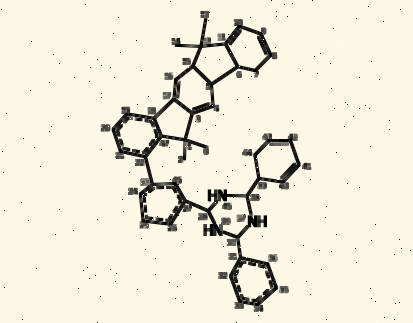 CC1(C)C2=CC3C4CC=CC=C4C(C)(C)C3C=C2c2cccc(-c3cccc(C4NC(c5ccccc5)NC(C5C=CC=CC5)N4)c3)c21